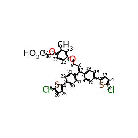 Cc1cc(OCC=C(c2ccc(-c3ccc(Cl)s3)cc2)c2ccc(-c3ccc(Cl)s3)cc2)ccc1OCC(=O)O